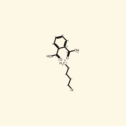 CCCC[CH2][K].O=C(O)c1ccccc1C(=O)O